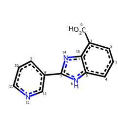 O=C(O)c1cccc2[nH]c(-c3cccnc3)nc12